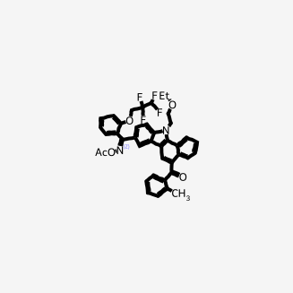 CCOCCn1c2ccc(/C(=N/OC(C)=O)c3ccccc3OCC(F)(F)C(F)F)cc2c2cc(C(=O)c3ccccc3C)c3ccccc3c21